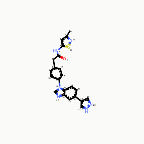 Cc1cc(NC(=O)Cc2ccc(-n3cnc4cc(-c5cn[nH]c5)ccc43)cc2)sn1